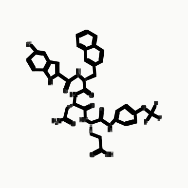 NC(=O)C[C@H](NC(=O)[C@H](Cc1ccc2ccccc2c1)NC(=O)c1cc2cc(Cl)ccc2[nH]1)C(=O)N[C@@H](CCC(=O)O)C(=O)Nc1ccc(OC(F)(F)F)cc1